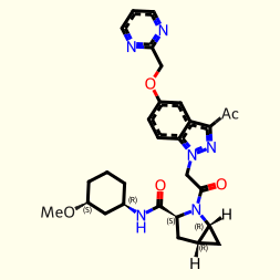 CO[C@H]1CCC[C@@H](NC(=O)[C@@H]2C[C@H]3C[C@H]3N2C(=O)Cn2nc(C(C)=O)c3cc(OCc4ncccn4)ccc32)C1